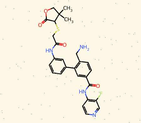 CC1(C)COC(=O)C1SCC(=O)Nc1cccc(-c2cc(C(=O)Nc3ccncc3F)ccc2CN)c1